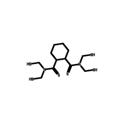 S=C(C1CCCCC1C(=S)N(CS)CS)N(CS)CS